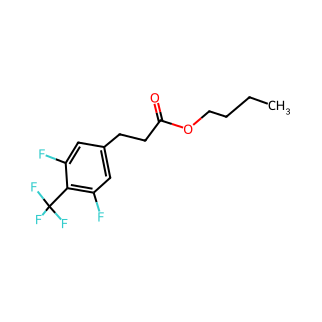 CCCCOC(=O)CCc1cc(F)c(C(F)(F)F)c(F)c1